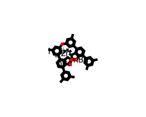 CCCCC1=Cc2c(-c3cc(C)cc(C)c3)ccc(-c3cc(C)cc(C)c3)c2[CH]1[Zr]([CH3])([CH3])(=[SiH2])[CH]1C(CCCC)=Cc2c(-c3cc(C)cc(C)c3)ccc(-c3cc(C)cc(C)c3)c21